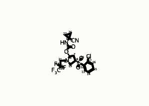 N#CC1(NC(=O)O[C@H]2C[C@@H](S(=O)(=O)c3ccccc3Cl)CN2CC(F)(F)C(F)(F)F)CC1